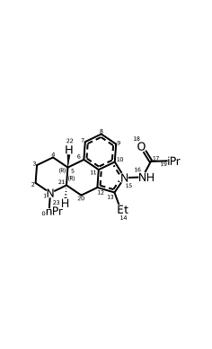 CCCN1CCC[C@@H]2c3cccc4c3c(c(CC)n4NC(=O)C(C)C)C[C@H]21